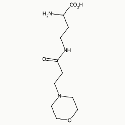 NC(CCNC(=O)CCN1CCOCC1)C(=O)O